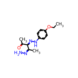 CCOc1ccc(N/N=C(C(C)=O)\C(C)=N/N)cc1